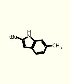 Cc1ccc2cc(C(C)(C)C)[nH]c2c1